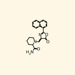 NC(=O)C1C[CH]CCN1C=C1N=C(c2cccc3ccccc23)OC1=O